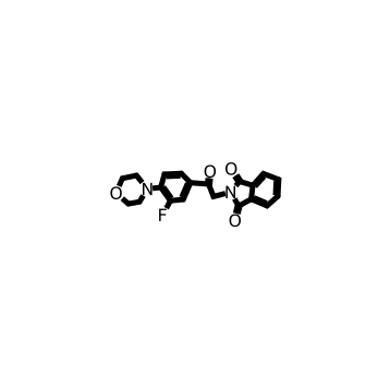 O=C(CN1C(=O)c2ccccc2C1=O)c1ccc(N2CCOCC2)c(F)c1